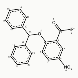 CC(C)C(=O)c1cc([N+](=O)[O-])ccc1OC(c1ccccc1)c1ccccc1